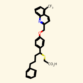 O=C(O)CSC(CCCc1ccccc1)c1ccc(OCc2ccc3c(C(F)(F)F)cccc3n2)cc1